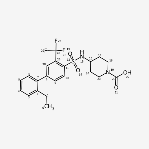 CCc1ccccc1-c1ccc(S(=O)(=O)NC2CCN(C(=O)O)CC2)c(C(F)(F)F)c1